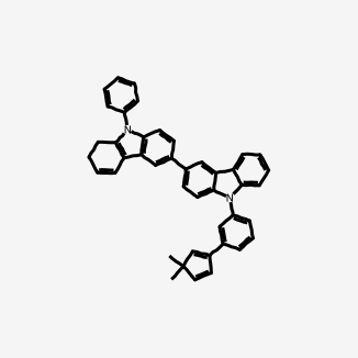 CC1(C)C=CC(c2cccc(-n3c4ccccc4c4cc(-c5ccc6c(c5)c5c(n6-c6ccccc6)CCC=C5)ccc43)c2)=C1